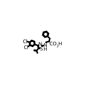 C=C(C)c1sc(NCC(Cc2ccccc2)C(=O)O)nc1-c1ccc(Cl)c(Cl)c1